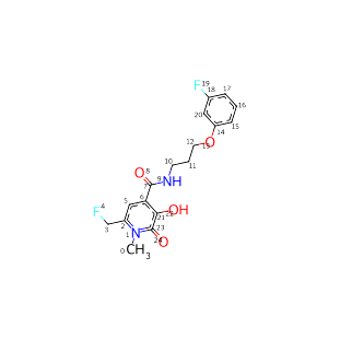 Cn1c(CF)cc(C(=O)NCCCOc2cccc(F)c2)c(O)c1=O